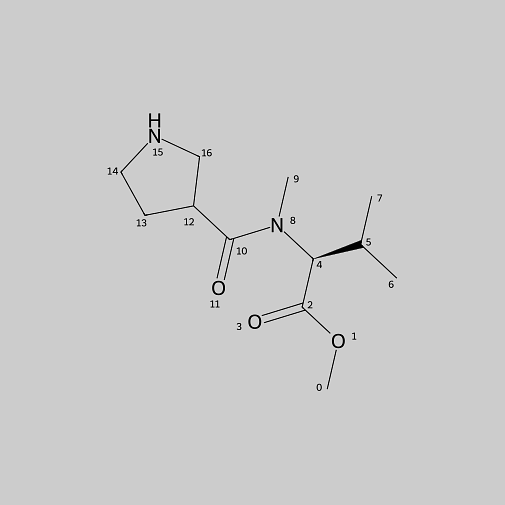 COC(=O)[C@H](C(C)C)N(C)C(=O)C1CCNC1